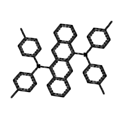 Cc1ccc(N(c2ccc(C)cc2)c2c3ccccc3cc3c(N(c4ccc(C)cc4)c4ccc(C)cc4)c4ccccc4cc23)cc1